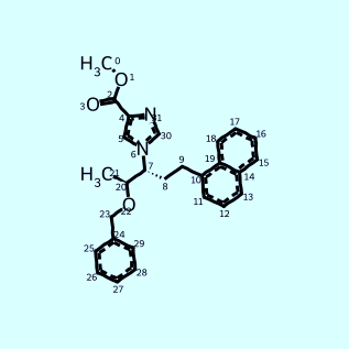 COC(=O)c1cn([C@H](CCc2cccc3ccccc23)[C@H](C)OCc2ccccc2)cn1